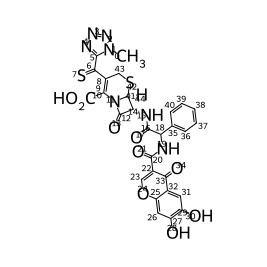 Cn1nnnc1C(=S)C1=C(C(=O)O)N2C(=O)[C@@H](NC(=O)C(NC(=O)c3coc4cc(O)c(O)cc4c3=O)c3ccccc3)[C@@H]2SC1